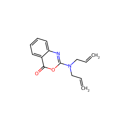 C=CCN(CC=C)c1nc2ccccc2c(=O)o1